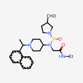 CCNC(=O)CN(C1CCN(C(C)c2cccc3ccccc23)CC1)[S+]([O-])N1CCC(C=O)C1